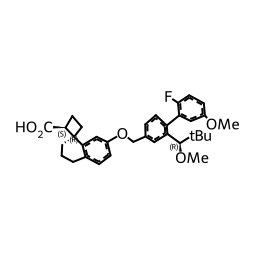 COc1ccc(F)c(-c2ccc(COc3ccc4c(c3)[C@]3(CCC4)CC[C@@H]3C(=O)O)cc2[C@H](OC)C(C)(C)C)c1